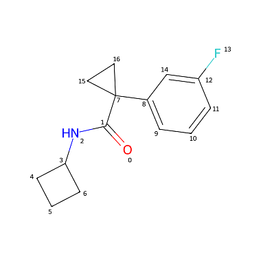 O=C(NC1CCC1)C1(c2cccc(F)c2)CC1